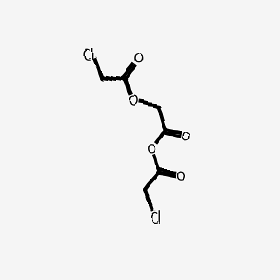 O=C(CCl)OCC(=O)OC(=O)CCl